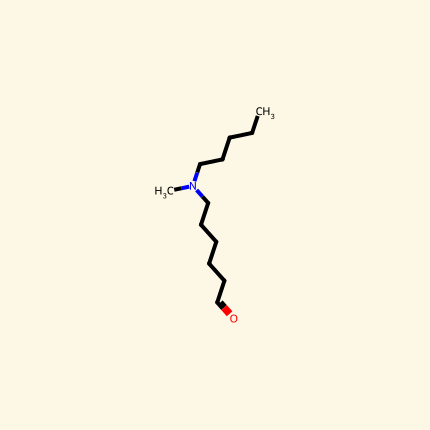 CCCCCN(C)CCCCCC=O